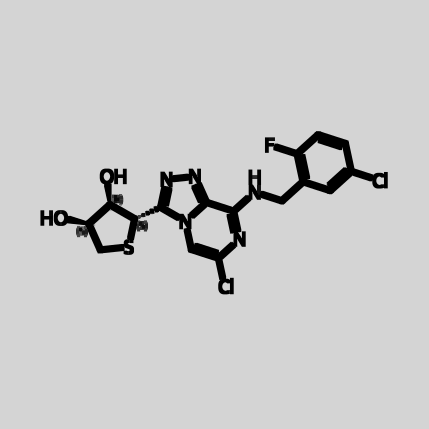 O[C@@H]1[C@H](O)CS[C@H]1c1nnc2c(NCc3cc(Cl)ccc3F)nc(Cl)cn12